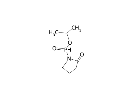 CC(C)O[PH](=O)N1CCCC1=O